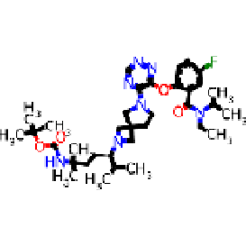 CCN(C(=O)c1cc(F)ccc1Oc1nncnc1N1CCC2(C1)CN([C@H](CCC(C)(C)NC(=O)OC(C)(C)C)C(C)C)C2)C(C)C